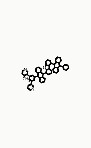 Cc1ccncc1-c1cc(-c2cccnc2)cc(-c2c3ccccc3c(-c3cccc4c3oc3cccc(-c5c6ccccc6c(-c6ccccc6)c6ccccc56)c34)c3ccccc23)c1